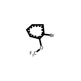 FC(F)(F)Oc1cc[c]cc1Br